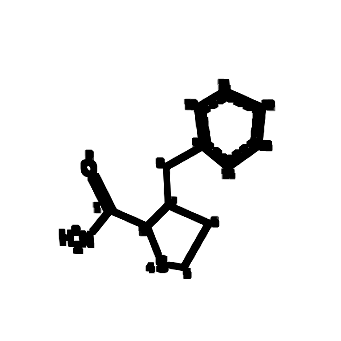 NC(=O)C1SCCC1Cc1ccccc1